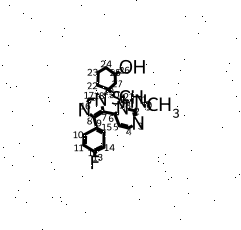 CNc1nccc(-c2c(-c3ccc(F)cc3)ncn2C2(SC)CCCC(O)C2)n1